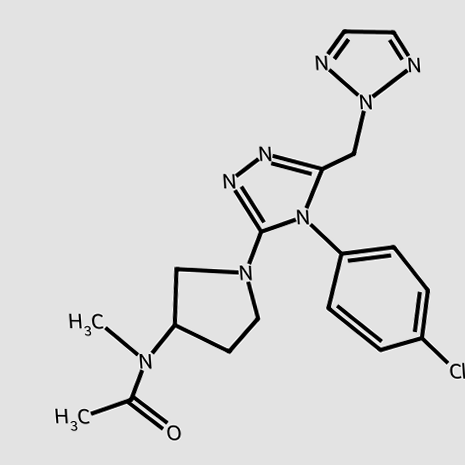 CC(=O)N(C)C1CCN(c2nnc(Cn3nccn3)n2-c2ccc(Cl)cc2)C1